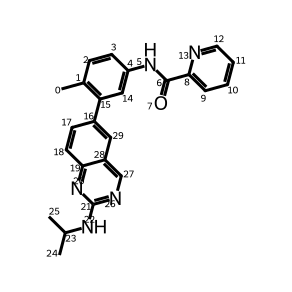 Cc1ccc(NC(=O)c2ccccn2)cc1-c1ccc2nc(NC(C)C)ncc2c1